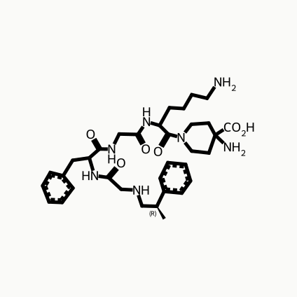 C[C@@H](CNCC(=O)NC(Cc1ccccc1)C(=O)NCC(=O)NC(CCCCN)C(=O)N1CCC(N)(C(=O)O)CC1)c1ccccc1